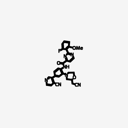 COc1cccc(F)c1-c1nccc(C(=O)Nc2ccc(-c3cnccc3C#N)cc2N2CCOC(CC#N)C2)n1